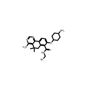 CC1(C)Cc2c(ccc(OC3CCC(N)CC3)c2C(=O)NCC#N)-c2ncnc(N)c21